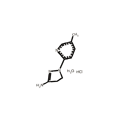 Cc1ccc(N2CCC(N)=N2)nc1.Cl.O